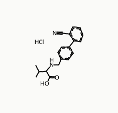 CC(C)C(NCc1ccc(-c2ccccc2C#N)cc1)C(=O)O.Cl